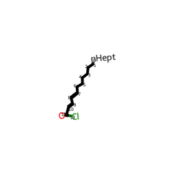 CCCCCCCCCCCCCC=CC=CC(=O)Cl